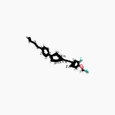 C=CCCc1ccc(-c2ccc(-c3ccc(OCF)c(F)c3)cc2)cc1